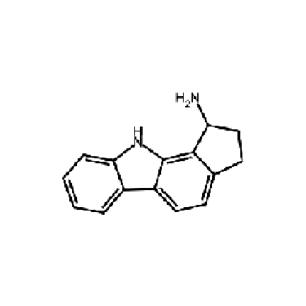 NC1CCc2ccc3c([nH]c4ccccc43)c21